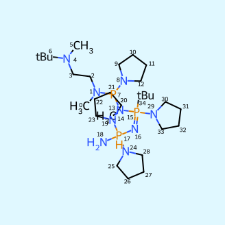 CN(CCN(C)C(C)(C)C)P(N1CCCC1)N(C)P(=N[PH](N)(N1CCCC1)N1CCCC1)(N1CCCC1)C(C)(C)C